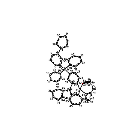 c1ccc(-c2cccc([Si](c3ccccc3)(c3ccccc3)c3ccc4c(c3)-n3c5ccccc5c5cccc(c53)C43c4ccccc4Oc4ccccc43)c2)cc1